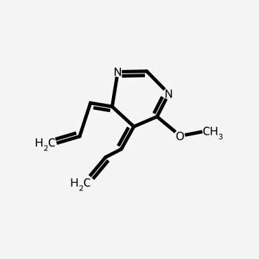 C=C/C=c1/ncnc(OC)/c1=C/C=C